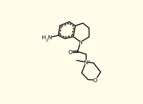 C[N+]1(CC(=O)N2CCCc3ccc(N)cc32)CCOCC1